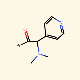 CC(C)C(=O)C(c1ccncc1)N(C)C